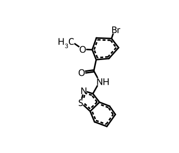 COc1cc(Br)ccc1C(=O)Nc1nsc2ccccc12